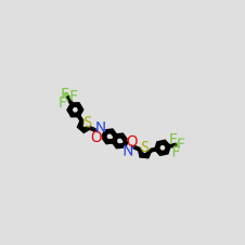 FC(F)(F)c1ccc(-c2ccc(-c3nc4cc5cc6oc(-c7ccc(-c8ccc(C(F)(F)F)cc8)s7)nc6cc5cc4o3)s2)cc1